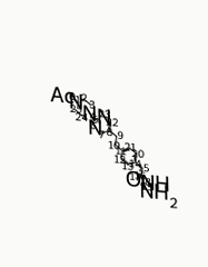 CC(=O)N1CCN(c2ncc(CCc3ccc(CC(=O)NN)cc3)cn2)CC1